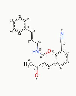 CC(=O)C(=Cc1cccc(C#N)c1)C(=O)NCC=Cc1ccccc1